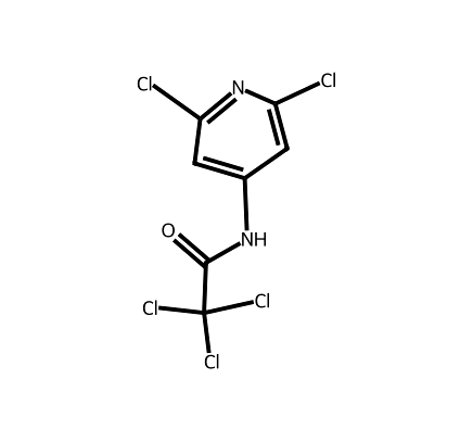 O=C(Nc1cc(Cl)nc(Cl)c1)C(Cl)(Cl)Cl